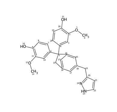 COc1cc(C2(c3ccc(O)c(OC)c3)Cc3cc(Cc4cc[nH]n4)cc2c3)ccc1O